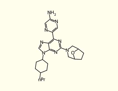 CCCC1CCC(n2cnc3c(-c4cnc(N)cn4)nc(N4CC5CCC(C4)O5)nc32)CC1